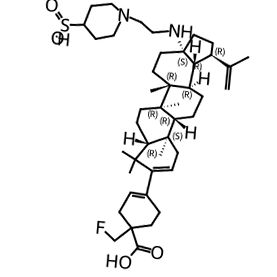 C=C(C)[C@@H]1CC[C@]2(NCCN3CCC([SH](=O)=O)CC3)CC[C@]3(C)[C@H](CC[C@@H]4[C@@]5(C)CC=C(C6=CCC(CF)(C(=O)O)CC6)C(C)(C)[C@@H]5CC[C@]43C)[C@@H]12